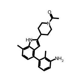 CC(=O)N1CCC(c2cc3c(-c4cccc(N)c4C)ccc(C)c3[nH]2)CC1